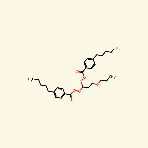 [CH2]CCOCC[C](OOC(=O)c1ccc(CCCCC)cc1)OOC(=O)c1ccc(CCCCC)cc1